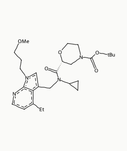 CCc1ccnc2c1c(CN(C(=O)[C@H]1CN(C(=O)OC(C)(C)C)CCO1)C1CC1)cn2CCCOC